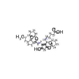 CCCC1CCC([C@@H](/C=C/[C@@H]2[C@@H](C/C=C\CCCC(=O)O)[C@@H](OC3CCCCO3)C[C@H]2O)OC2CCCCO2)C1